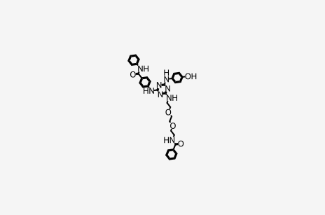 O=C(NCCOCCOCCNc1nc(Nc2ccc(O)cc2)nc(Nc2ccc(C(=O)Nc3ccccc3)cc2)n1)c1ccccc1